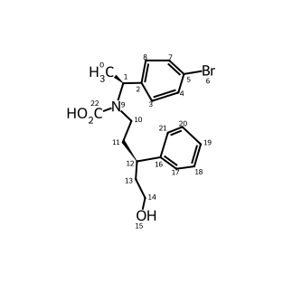 C[C@@H](c1ccc(Br)cc1)N(CC[C@H](CCO)c1ccccc1)C(=O)O